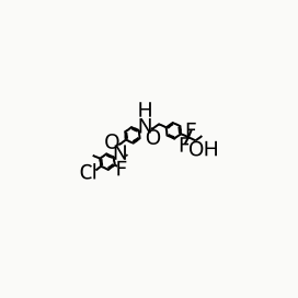 Cc1cc(N(C)C(=O)c2ccc(NC(=O)Cc3ccc(C(F)(F)C(C)O)cc3)cc2)c(F)cc1Cl